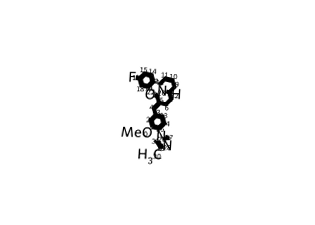 COc1cc(/C=C2\CC[C@@H]3CC=C[C@@H](c4ccc(F)cc4)N3C2=O)ccc1-n1cnc(C)c1